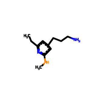 CCc1cc(CCCN)cc(PC)n1